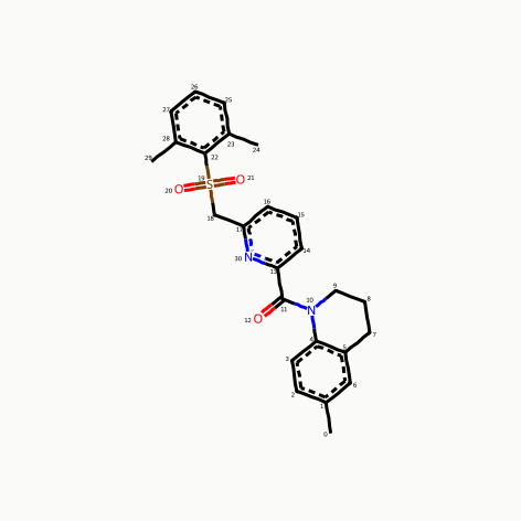 Cc1ccc2c(c1)CCCN2C(=O)c1cccc(CS(=O)(=O)c2c(C)cccc2C)n1